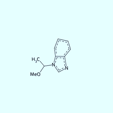 COC(C)n1cnc2ccccc21